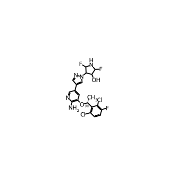 C[C@@H](Oc1cc(-c2cnn(C3C(F)NC(F)C3O)c2)cnc1N)c1c(Cl)ccc(F)c1Cl